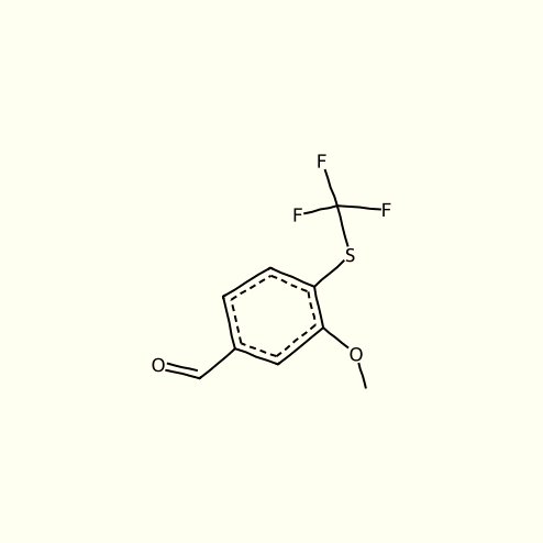 COc1cc(C=O)ccc1SC(F)(F)F